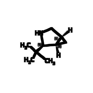 CC(C)(C)[C@H]1NC[C@H]2C[C@H]21